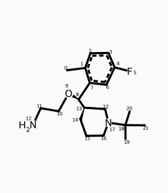 Cc1ccc(F)cc1[C@H](OCCN)[C@@H]1CCCN(C(C)(C)C)C1